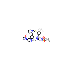 CS(=O)(=O)N1CCc2c(c(-c3ccc(C(F)(F)F)c(SCCN4CCCCC4Cc4ccccc4)c3)nn2CCCN2CCC(N3CCCC3=O)CC2)C1